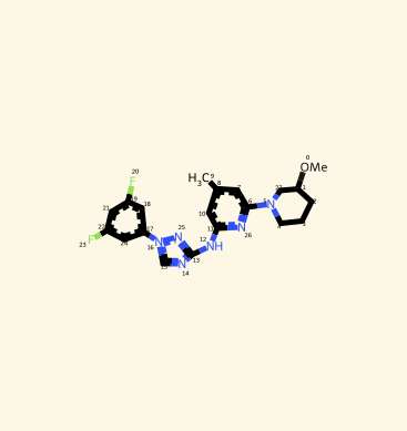 COC1CCCN(c2cc(C)cc(Nc3ncn(-c4cc(F)cc(F)c4)n3)n2)C1